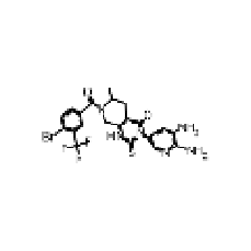 CC1Cc2c([nH]c(=S)n(-c3cnc(N)c(N)c3)c2=O)CN1C(=O)c1ccc(Br)c(C(F)(F)F)c1